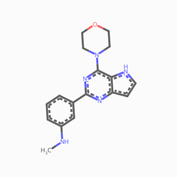 CNc1cccc(-c2nc(N3CCOCC3)c3[nH]ccc3n2)c1